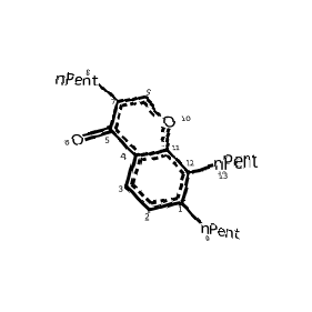 CCCCCc1ccc2c(=O)c(CCCCC)coc2c1CCCCC